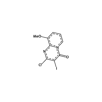 COc1cccn2c(=O)c(I)c(Cl)nc12